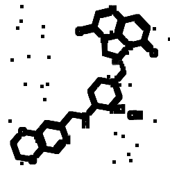 Cl.Cl.O=c1cnc2ccc(=O)n3c2n1C[C@H]3CN1CCC(NCc2cc3c(cn2)OCCO3)CC1